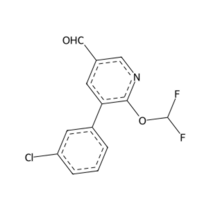 O=Cc1cnc(OC(F)F)c(-c2cccc(Cl)c2)c1